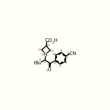 CC(C)(C)C(C(=O)c1ccc(C#N)cc1)N1CC(C(=O)O)C1